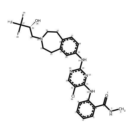 CNC(=O)c1ccccc1Nc1nc(Nc2ccc3c(c2)CCN(C[C@@H](O)C(F)(F)F)CC3)ncc1Cl